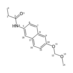 CCC(=O)Nc1ccc2cc(OCOC)ccc2c1